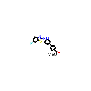 COC(=O)c1ccc(-c2ccc(Nc3nc4ccc(F)cc4s3)cc2)cc1